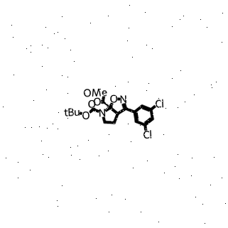 COC(=O)[C@@]12ON=C(c3cc(Cl)cc(Cl)c3)C1CCN2C(=O)OC(C)(C)C